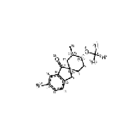 [2H]C([2H])([2H])O[C@@H]1CC[C@]2(Cc3ccc(Br)cc3C2=O)C[C@H]1C